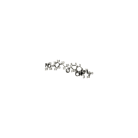 C[C@H]1C2Cc3ccc(C(=O)CCCc4ccc(C5=CCN=C5)cc4)cc3[C@@]1(C)CC[C@H]2CC1CC1